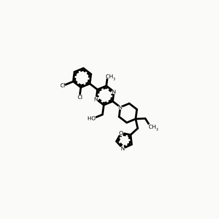 CCC1(Cc2cnco2)CCN(c2nc(C)c(-c3cccc(Cl)c3Cl)nc2CO)CC1